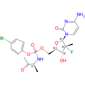 CC(=O)[C@H](C)NP(=O)(OC[C@H]1O[C@@H](n2ccc(N)nc2=O)[C@](C)(F)[C@@H]1O)Oc1ccc(Br)cc1